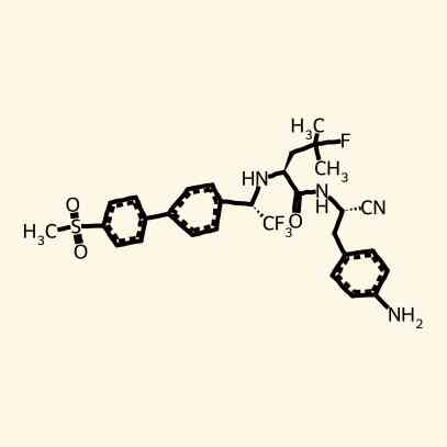 CC(C)(F)C[C@H](N[C@@H](c1ccc(-c2ccc(S(C)(=O)=O)cc2)cc1)C(F)(F)F)C(=O)N[C@H](C#N)Cc1ccc(N)cc1